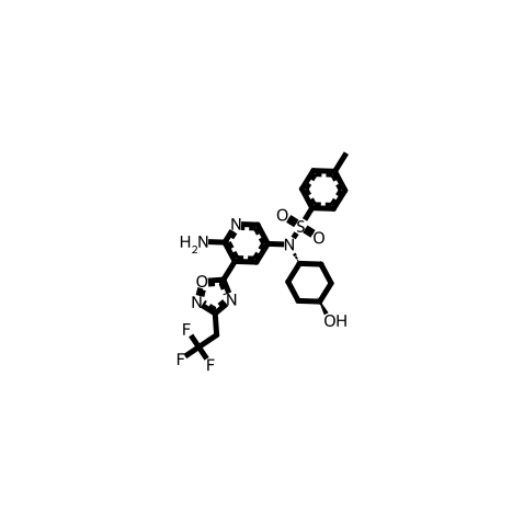 Cc1ccc(S(=O)(=O)N(c2cnc(N)c(-c3nc(CC(F)(F)F)no3)c2)[C@H]2CC[C@H](O)CC2)cc1